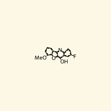 COc1cccc2c1oc1c(O)c3cc(F)ccc3nc12